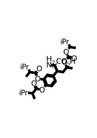 CC(CC(c1ccc(OC(=O)C(C)C(C)C)c(OC(=O)C(C)C(C)C)c1)[C@H](N)C(=O)O)OC(=O)OC(C)C(C)C